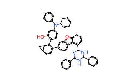 Oc1cc(N(c2ccccc2)C2C=CC=CC2)ccc1-c1c(-c2ccc3c(c2)oc2cccc(C4N=C(c5ccccc5)NC(c5ccccc5)N4)c23)ccc2c1C2